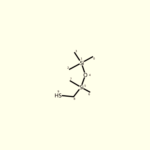 C[Si](C)(C)O[Si](C)(C)CS